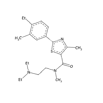 CCc1ccc(-c2nc(C)c(C(=O)N(C)CCN(CC)CC)s2)cc1C